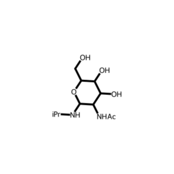 CC(=O)NC1C(NC(C)C)OC(CO)C(O)C1O